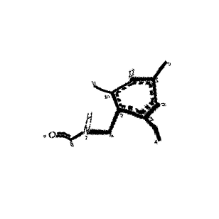 Cc1cc(C)c(CNC=O)c(C)c1